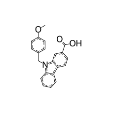 COc1ccc(Cn2c3ccccc3c3ccc(C(=O)O)cc32)cc1